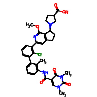 COc1nc(-c2cccc(-c3cccc(NC(=O)c4cn(C)c(=O)n(C)c4=O)c3C)c2Cl)cc2c1[C@@H](N1CC[C@@H](C(=O)O)C1)CC2